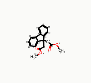 COC(=O)CC1(CC(=O)OC)c2ccccc2-c2ccccc21